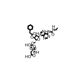 CCNC(=O)Nc1ncnc2c1ncn2[C@@H]1O[C@H](COP(=O)(O)OP(=O)(O)CC(=O)O)C2OC(Cc3ccccc3)O[C@@H]21